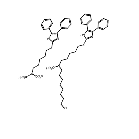 CC(C)CCCCCCCCN(CCCCCSc1nc(-c2ccccc2)c(-c2ccccc2)[nH]1)C(=O)O.CCCCCCCN(CCCCCSc1nc(-c2ccccc2)c(-c2ccccc2)[nH]1)C(=O)O